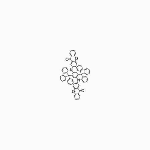 O=c1c2ccccc2oc2ccc(N3c4ccccc4C(c4ccccc4)(c4ccccc4)c4cc5c(cc43)C(c3ccccc3)(c3ccccc3)c3ccccc3N5c3ccc4oc5ccccc5c(=O)c4c3)cc12